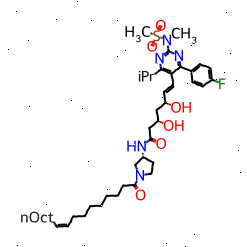 CCCCCCCC/C=C\CCCCCCCC(=O)N1CC[C@@H](NC(=O)C[C@H](O)C[C@H](O)/C=C/c2c(-c3ccc(F)cc3)nc(N(C)S(C)(=O)=O)nc2C(C)C)C1